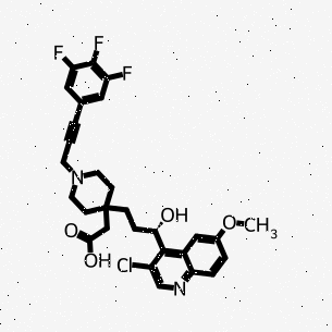 COc1ccc2ncc(Cl)c([C@@H](O)CCC3(CC(=O)O)CCN(CC#Cc4cc(F)c(F)c(F)c4)CC3)c2c1